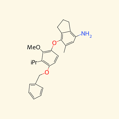 COc1c(Oc2c(C)cc(N)c3c2CCC3)ccc(OCc2ccccc2)c1C(C)C